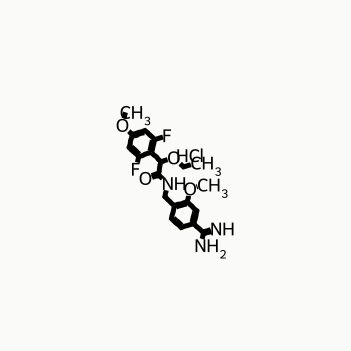 CCOC(C(=O)NCc1ccc(C(=N)N)cc1OC)c1c(F)cc(OC)cc1F.Cl